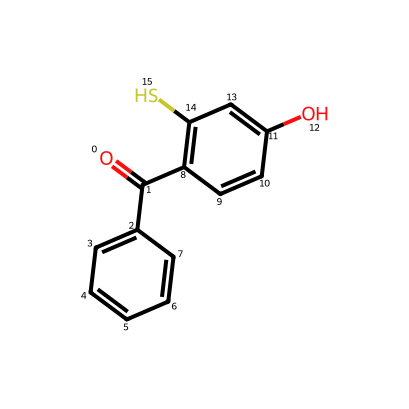 O=C(c1ccccc1)c1ccc(O)cc1S